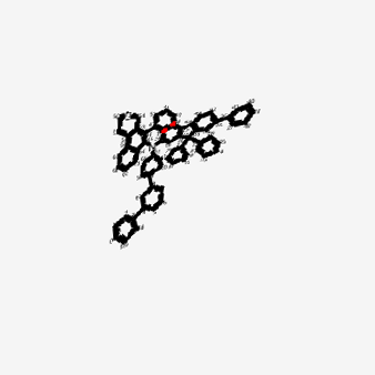 c1ccc(-c2cccc(-c3ccc(N(c4ccc5c(c4)C(c4ccccc4)(c4ccccc4)c4cc(-c6ccccc6)ccc4-5)c4c(-c5ccccc5)c5ccccc5c5ccccc45)cc3)c2)cc1